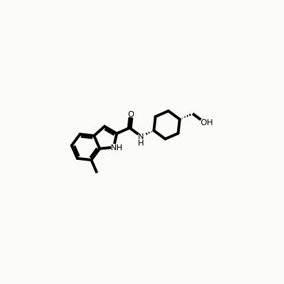 Cc1cccc2cc(C(=O)N[C@H]3CC[C@@H](CO)CC3)[nH]c12